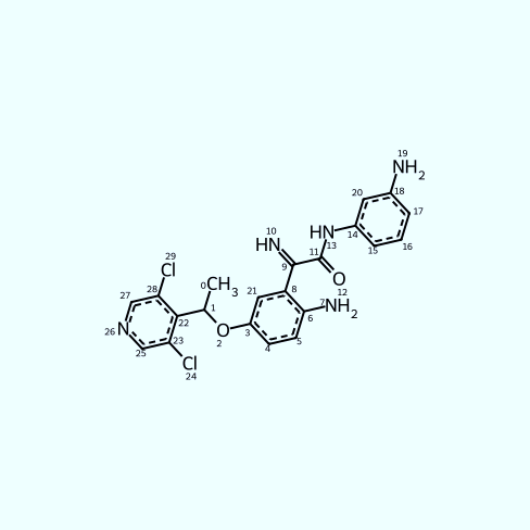 CC(Oc1ccc(N)c(C(=N)C(=O)Nc2cccc(N)c2)c1)c1c(Cl)cncc1Cl